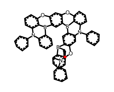 c1ccc(N2c3ccccc3B3c4cc5c(cc4Oc4cccc2c43)Oc2cccc3c2B5c2cc4c(cc2N3c2ccccc2)Oc2cccc3c2B4c2ccccc2N3c2ccccc2)cc1